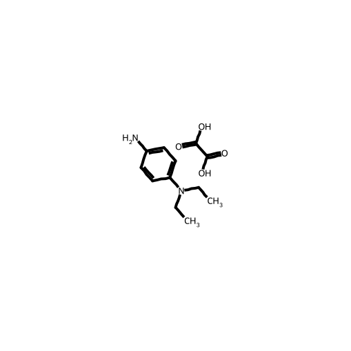 CCN(CC)c1ccc(N)cc1.O=C(O)C(=O)O